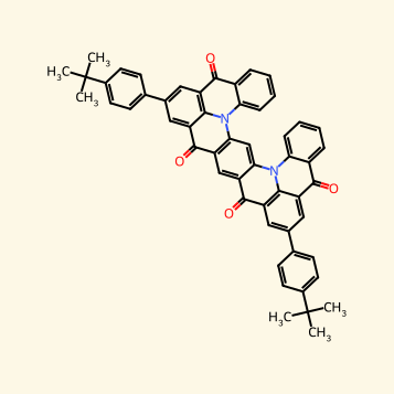 CC(C)(C)c1ccc(-c2cc3c(=O)c4ccccc4n4c5cc6c(cc5c(=O)c(c2)c34)c(=O)c2cc(-c3ccc(C(C)(C)C)cc3)cc3c(=O)c4ccccc4n6c32)cc1